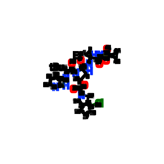 CC[C@@H]1CC1(NC(=O)C1C[C@@H](OC(=O)N2Cc3cccc(Cl)c3C2)CN1C(=O)[C@@H](Nc1cccnc1)C(C)(C)C)C(=O)NS(=O)(=O)C1CC1